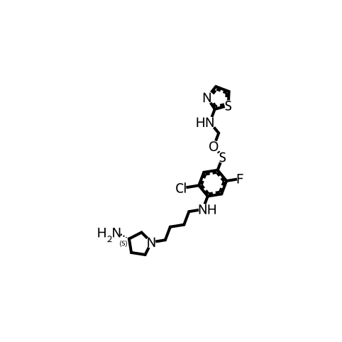 N[C@H]1CCN(CCCCNc2cc(F)c(SOCNc3nccs3)cc2Cl)C1